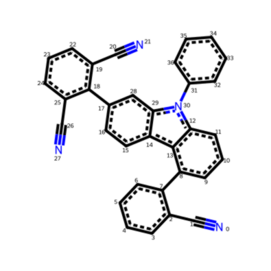 N#Cc1ccccc1-c1cccc2c1c1ccc(-c3c(C#N)cccc3C#N)cc1n2-c1ccccc1